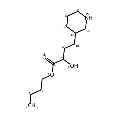 CCCCOC(=O)C(O)CCC1CCCNC1